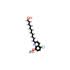 CC(C)Oc1ccc(Cl)c2ccc(CCCCCCCCCCCO)nc12